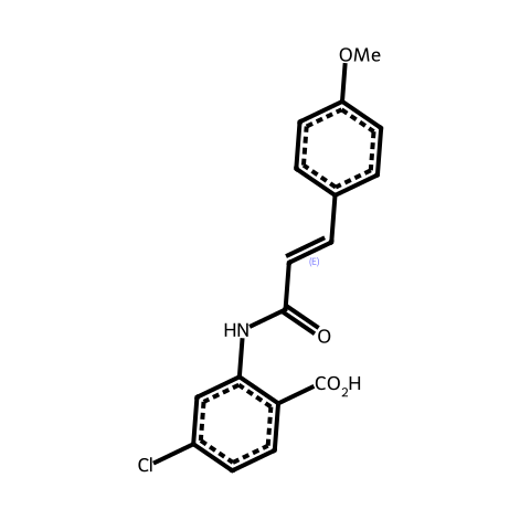 COc1ccc(/C=C/C(=O)Nc2cc(Cl)ccc2C(=O)O)cc1